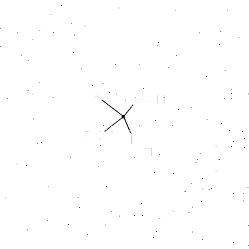 O=S(=O)(O)C(F)(F)C(F)(F)F.[Tl]